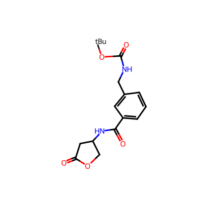 CC(C)(C)OC(=O)NCc1cccc(C(=O)NC2COC(=O)C2)c1